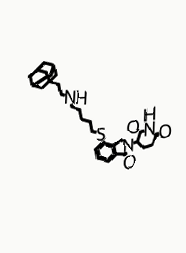 O=C1CCC(N2Cc3c(SCCCCCNCCC45CC6CC(CC(C6)C4)C5)cccc3C2=O)C(=O)N1